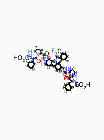 O=C(O)NC(C(=O)N1CCC[C@H]1C(=O)Nc1ccc2c3ccc(NC(=O)[C@@H]4CCCN4C(=O)C(NC(=O)O)c4ccccc4)cc3n(Cc3ccccc3C(F)(F)F)c2c1)c1ccccc1